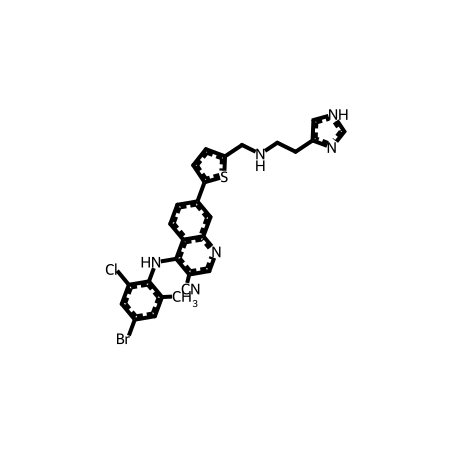 Cc1cc(Br)cc(Cl)c1Nc1c(C#N)cnc2cc(-c3ccc(CNCCc4c[nH]cn4)s3)ccc12